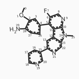 COc1cc(-c2c(F)cnc3c2c2cc(-c4cccnc4)ncc2n3C)ccc1N